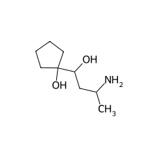 CC(N)CC(O)C1(O)CCCC1